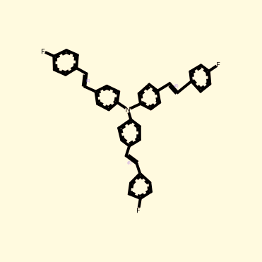 Fc1ccc(/C=C/c2ccc(N(c3ccc(/C=C/c4ccc(F)cc4)cc3)c3ccc(/C=C/c4ccc(F)cc4)cc3)cc2)cc1